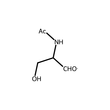 CC(=O)NC([C]=O)CO